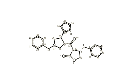 O=C1OC[C@@H](Cc2ccccc2)N1C(=O)[C@@H]1CN(Cc2ccccc2)C[C@H]1c1cccs1